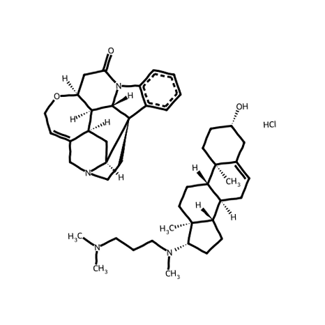 CN(C)CCCN(C)[C@H]1CC[C@H]2[C@@H]3CC=C4C[C@@H](O)CC[C@]4(C)[C@H]3CC[C@]12C.Cl.O=C1C[C@@H]2OCC=C3CN4CC[C@]56c7ccccc7N1[C@H]5[C@H]2[C@H]3C[C@H]46